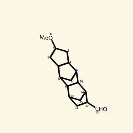 COC1CC2C(C1)C1CC2C2C3CC(C=O)C(C3)C12